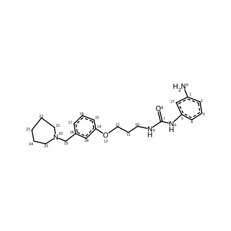 Nc1cccc(NC(=O)NCCCOc2cccc(CN3CCCCC3)c2)c1